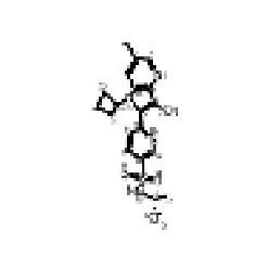 Cc1cnc2c(C#N)c(-c3ccc(S(=O)(=O)N[C@H](C)C(F)(F)F)cn3)n(C3CCC3)c2c1